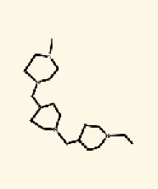 CCN1CCC(CN2CCC(CN3CCN(I)CC3)CC2)CC1